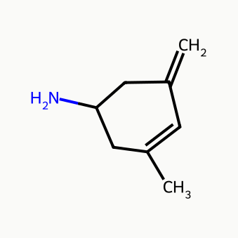 C=C1C=C(C)CC(N)C1